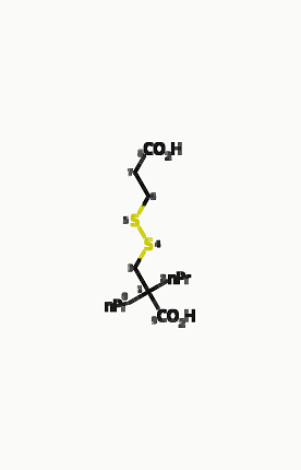 CCCC(CCC)(CSSCCC(=O)O)C(=O)O